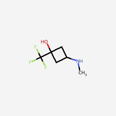 CNC1CC(O)(C(F)(F)F)C1